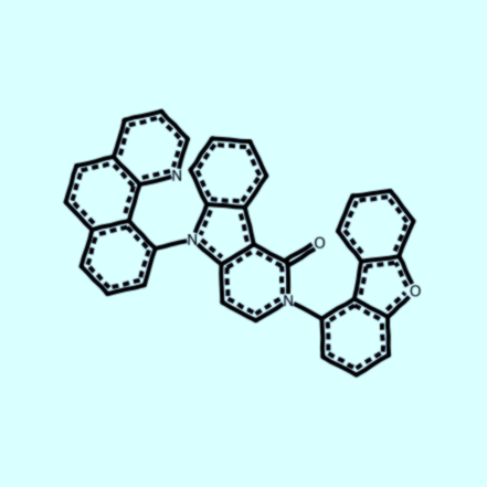 O=c1c2c3ccccc3n(-c3cccc4ccc5cccnc5c34)c2ccn1-c1cccc2oc3ccccc3c12